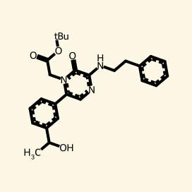 CC(O)c1cccc(-c2cnc(NCCc3ccccc3)c(=O)n2CC(=O)OC(C)(C)C)c1